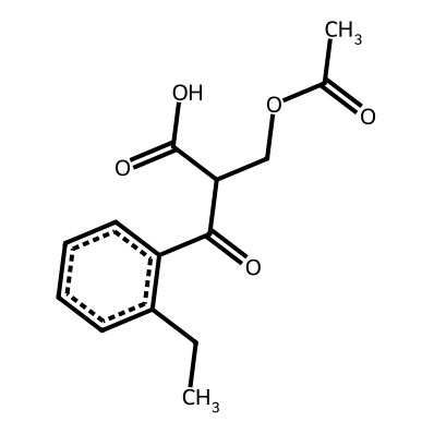 CCc1ccccc1C(=O)C(COC(C)=O)C(=O)O